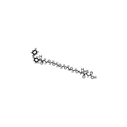 O=C(O)CC(S)C(=O)NCCOCCOCCOCCOCCOCCOCCC(=O)Nc1cccc(Sc2ccccc2)c1